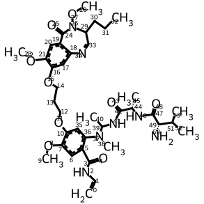 C=CNC(=O)c1cc(OC)c(OCCCOc2cc3c(cc2OC)C(=O)N(OC)C(CCC)C=N3)cc1N(C)C(C)NC(=O)[C@H](C)NC(=O)[C@@H](N)C(C)C